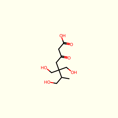 CC(CO)C(CO)(CO)CC(=O)CC(=O)O